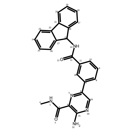 CNC(=O)c1nc(-c2cccc(C(=O)NC3c4ccccc4-c4ccccc43)c2)cnc1N